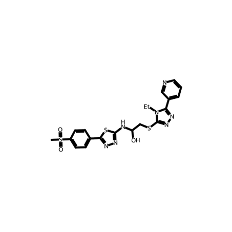 CCn1c(SCC(O)Nc2nnc(-c3ccc(S(C)(=O)=O)cc3)s2)nnc1-c1cccnc1